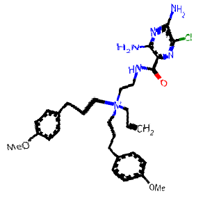 C=CC[N+](CCCc1ccc(OC)cc1)(CCCc1ccc(OC)cc1)CCNC(=O)c1nc(Cl)c(N)nc1N